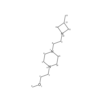 COCCN1CCN(CCN2CC(C)C2)CC1